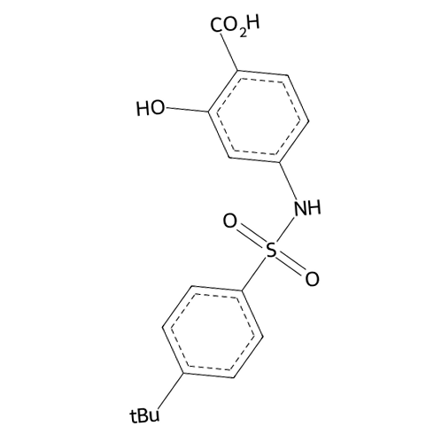 CC(C)(C)c1ccc(S(=O)(=O)Nc2ccc(C(=O)O)c(O)c2)cc1